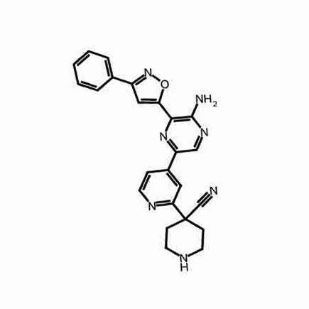 N#CC1(c2cc(-c3cnc(N)c(-c4cc(-c5ccccc5)no4)n3)ccn2)CCNCC1